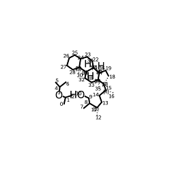 CC(C)OC(C)C.CC(CO)[C@@H](C)CC[C@@H](C)[C@H]1CC[C@H]2[C@@H]3CCC4CCCC[C@]4(C)[C@H]3CC[C@]12C